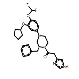 O=C(Cc1c[nH]cn1)N1CCN(c2ccc(OC(F)F)c(OC3CCCC3)c2)C[C@@H]1Cc1ccccc1